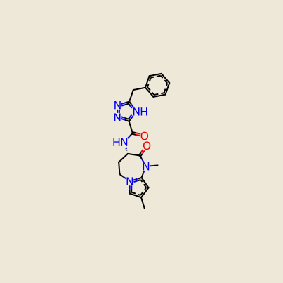 Cc1cc2n(c1)CC[C@H](NC(=O)c1nnc(Cc3ccccc3)[nH]1)C(=O)N2C